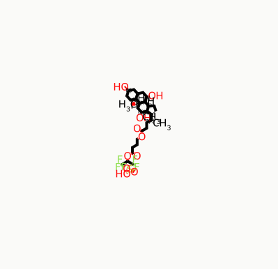 C[C@H](CCC(=O)OCCCC(=O)OC(C(F)(F)F)C(F)(F)S(=O)(=O)O)[C@H]1CC[C@H]2[C@@H]3[C@H](O)CC4C[C@H](O)CC[C@]4(C)[C@H]3C[C@H](O)[C@]12C